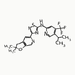 CC(C)c1cnc(Nc2nc(-c3cc4c(cn3)OC(C)(C)C4)ns2)cc1C(F)(F)F